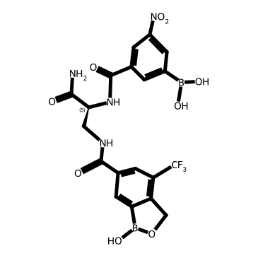 NC(=O)[C@H](CNC(=O)c1cc2c(c(C(F)(F)F)c1)COB2O)NC(=O)c1cc(B(O)O)cc([N+](=O)[O-])c1